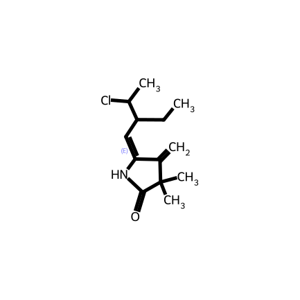 C=C1/C(=C\C(CC)C(C)Cl)NC(=O)C1(C)C